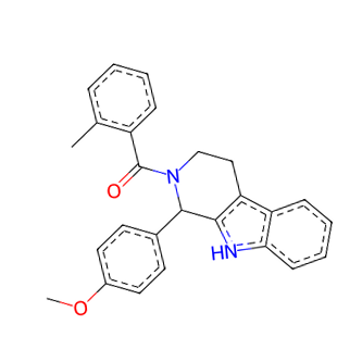 COc1ccc(C2c3[nH]c4ccccc4c3CCN2C(=O)c2ccccc2C)cc1